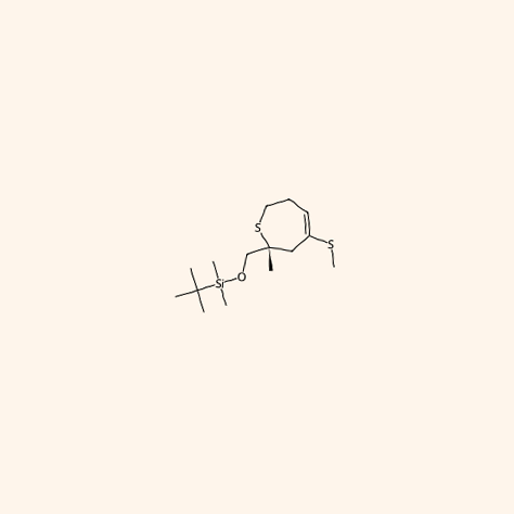 CSC1=CCCS[C@@](C)(CO[Si](C)(C)C(C)(C)C)C1